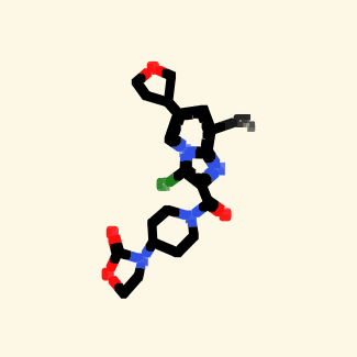 O=C(c1nc2c(C(F)(F)F)cc(C3CCOC3)cn2c1Cl)N1CCC(N2CCOC2=O)CC1